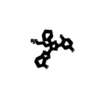 NCCCC1(c2ccccc2)SC(c2cc(F)ccc2F)=NN1c1nc2cccc(F)c2s1